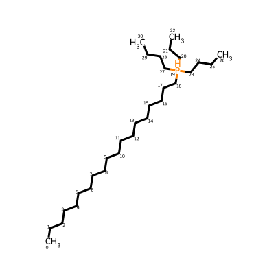 CCCCCCCCCCCCCCCCCCC[PH](CCC)(CCCC)CCCC